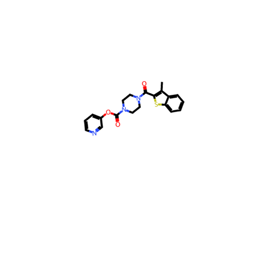 Cc1c(C(=O)N2CCN(C(=O)Oc3cccnc3)CC2)sc2ccccc12